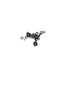 CCc1ccccc1O/C(C)=N/c1c(CCc2ccccc2)c(=O)n(CCCO)c(=O)n1C